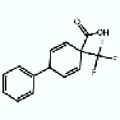 O=C(O)C1(C(F)(F)F)C=CC(c2ccccc2)C=C1